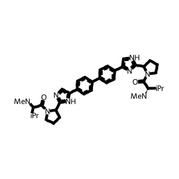 CNC(C(=O)N1CCCC1c1ncc(-c2ccc(-c3ccc(-c4c[nH]c(C5CCCN5C(=O)[C@@H](NC)C(C)C)n4)cc3)cc2)[nH]1)C(C)C